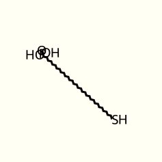 O=P(O)(O)CCCCCCCCCCCCCCCCCCCCCCCCCCCCCCCCCS